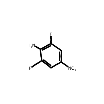 Nc1c(F)cc([N+](=O)[O-])cc1F